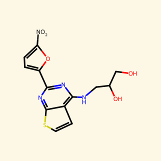 O=[N+]([O-])c1ccc(-c2nc(NCC(O)CO)c3ccsc3n2)o1